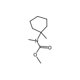 COC(=O)N(C)C1(C)CCCCC1